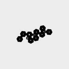 C1=C(n2c3ccccc3c3c(-c4cccc5c4c4ccccc4n5-c4ccccc4)cccc32)c2c(oc3ccccc23)C(c2cccc(-c3ccccc3)c2)C1